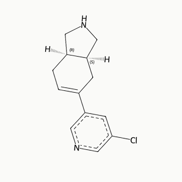 Clc1cncc(C2=CC[C@H]3CNC[C@H]3C2)c1